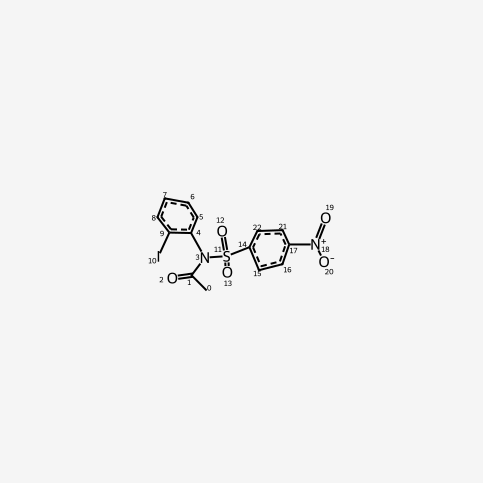 CC(=O)N(c1ccccc1I)S(=O)(=O)c1ccc([N+](=O)[O-])cc1